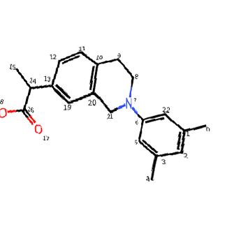 Cc1cc(C)cc(N2CCc3ccc(C(C)C(=O)O)cc3C2)c1